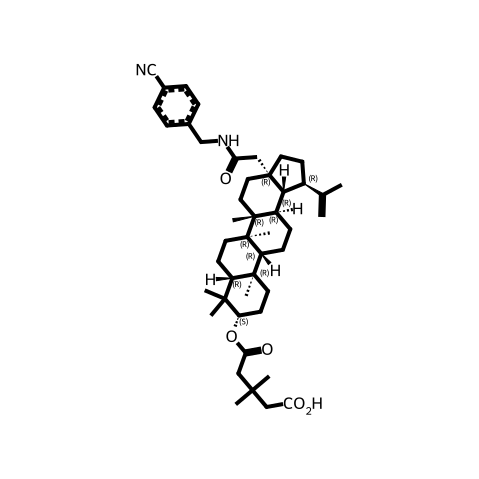 C=C(C)[C@@H]1CC[C@]2(CC(=O)NCc3ccc(C#N)cc3)CC[C@]3(C)[C@H](CC[C@@H]4[C@@]5(C)CC[C@H](OC(=O)CC(C)(C)CC(=O)O)C(C)(C)[C@@H]5CC[C@]43C)[C@@H]12